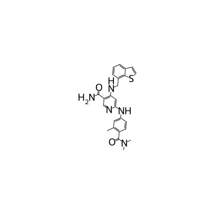 Cc1cc(Nc2cc(NCc3cccc4ccsc34)c(C(N)=O)cn2)ccc1C(=O)N(C)C